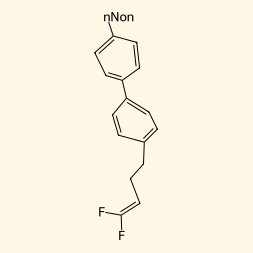 CCCCCCCCCc1ccc(-c2ccc(CCC=C(F)F)cc2)cc1